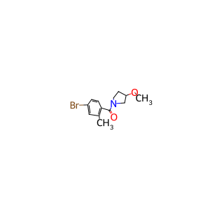 COC1CCN(C(=O)c2ccc(Br)cc2C)C1